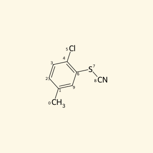 Cc1[c]cc(Cl)c(SC#N)c1